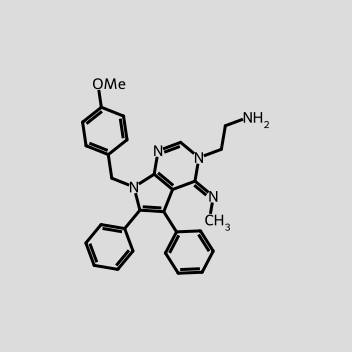 C/N=c1\c2c(-c3ccccc3)c(-c3ccccc3)n(Cc3ccc(OC)cc3)c2ncn1CCN